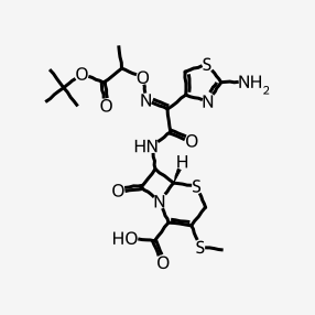 CSC1=C(C(=O)O)N2C(=O)C(NC(=O)C(=NOC(C)C(=O)OC(C)(C)C)c3csc(N)n3)[C@@H]2SC1